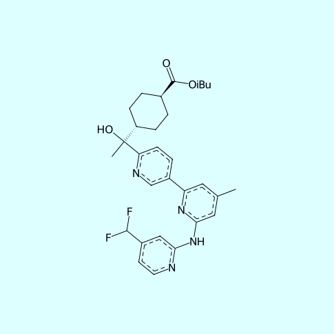 Cc1cc(Nc2cc(C(F)F)ccn2)nc(-c2ccc(C(C)(O)[C@H]3CC[C@H](C(=O)OCC(C)C)CC3)nc2)c1